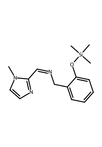 Cn1ccnc1/C=N\Cc1ccccc1O[Si](C)(C)C